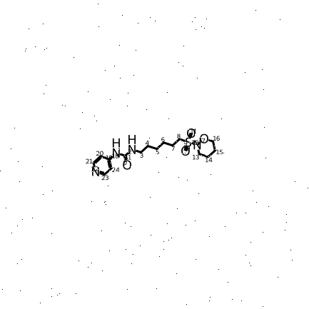 O=C(NCCCCCCS(=O)(=O)N1CCCCO1)Nc1ccncc1